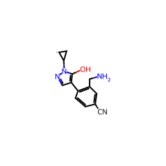 N#Cc1ccc(-c2cnn(C3[CH]C3)c2O)c(CN)c1